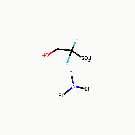 CCN(CC)CC.O=S(=O)(O)C(F)(F)CO